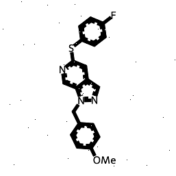 COc1ccc(Cn2ncc3cc(Sc4ccc(F)cc4)ncc32)cc1